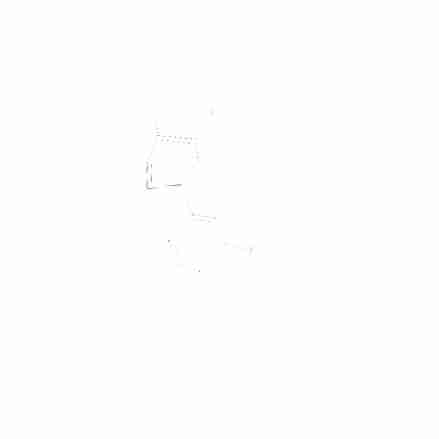 CC(C)c1cc(-c2ccc(O)c(C(C)C)c2)ccc1O